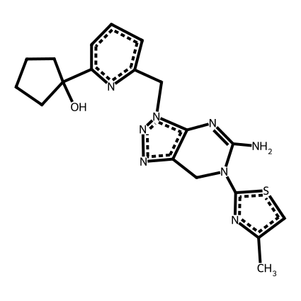 Cc1csc(N2Cc3nnn(Cc4cccc(C5(O)CCCC5)n4)c3N=C2N)n1